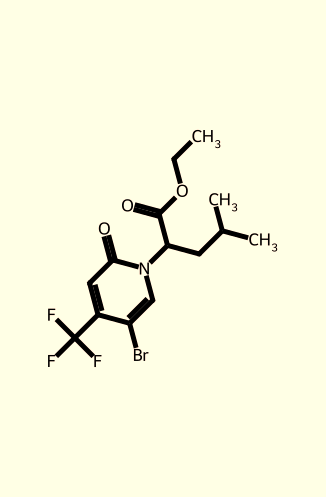 CCOC(=O)C(CC(C)C)n1cc(Br)c(C(F)(F)F)cc1=O